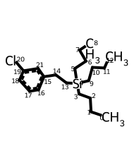 CCCC[Si](CCCC)(CCCC)CCc1cccc(Cl)c1